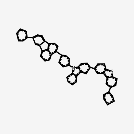 C1=C=C2C(=CC=1c1ccccc1)c1cccc3c(-c4ccc(-n5c6ccccc6c6cc(-c7ccc8sc9ccc(-c%10ccccc%10)cc9c8c7)ccc65)cc4)ccc2c13